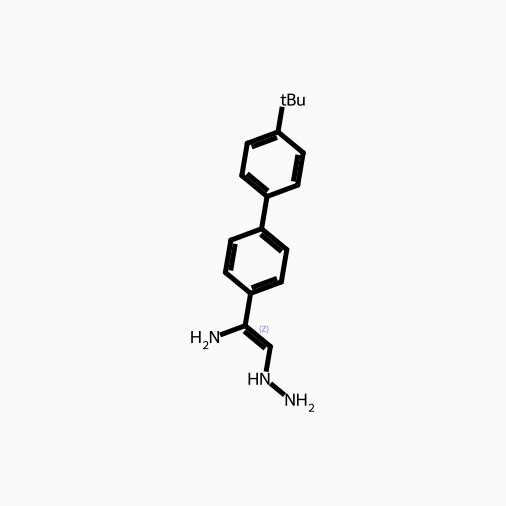 CC(C)(C)c1ccc(-c2ccc(/C(N)=C/NN)cc2)cc1